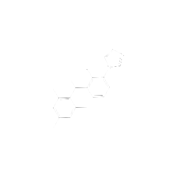 Cc1cc(C)c(C(O)c2cccc(-n3ccnc3)c2Cl)c(C)c1